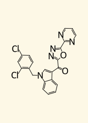 O=C(c1nnc(-c2ncccn2)o1)c1cn(Cc2ccc(Cl)cc2Cl)c2ccccc12